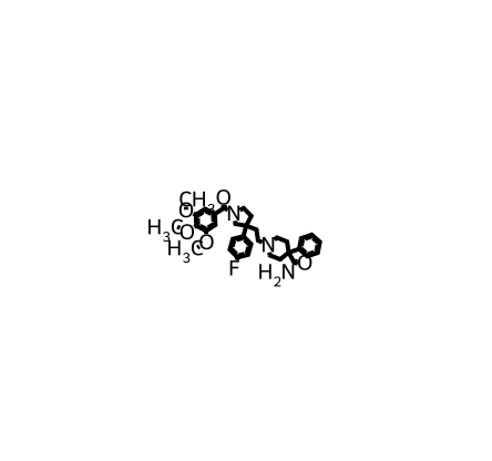 COc1cc(C(=O)N2CCC(CCN3CCC(C(N)=O)(c4ccccc4)CC3)(c3ccc(F)cc3)C2)cc(OC)c1OC